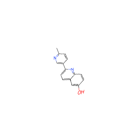 Cc1ccc(-c2ccc3cc(O)ccc3n2)cn1